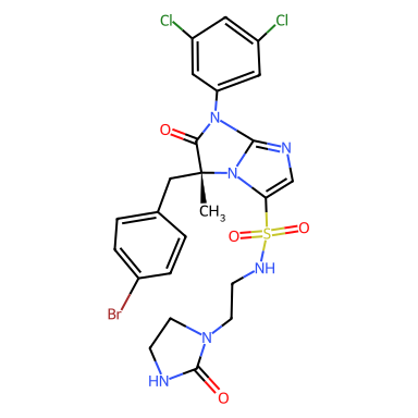 C[C@@]1(Cc2ccc(Br)cc2)C(=O)N(c2cc(Cl)cc(Cl)c2)c2ncc(S(=O)(=O)NCCN3CCNC3=O)n21